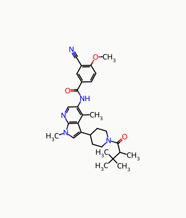 COc1ccc(C(=O)Nc2cnc3c(c(C4CCN(C(=O)C(C)C(C)(C)C)CC4)cn3C)c2C)cc1C#N